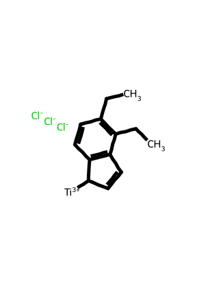 CCc1ccc2c(c1CC)C=C[CH]2[Ti+3].[Cl-].[Cl-].[Cl-]